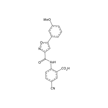 COc1cccc(-c2cc(C(=O)[AsH]c3ccc(C#N)cc3C(=O)O)no2)c1